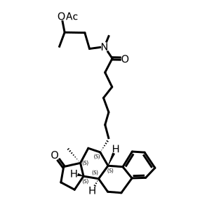 CC(=O)OC(C)CCN(C)C(=O)CCCCCC[C@H]1C[C@]2(C)C(=O)CC[C@H]2[C@@H]2CCc3ccccc3[C@@H]12